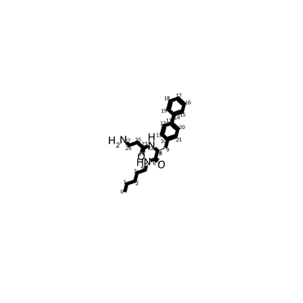 CCCCCNC(=O)[C@@H](Cc1ccc(-c2ccccc2)cc1)NC(=O)CCN